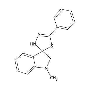 CN1CC2(NN=C(c3ccccc3)S2)c2ccccc21